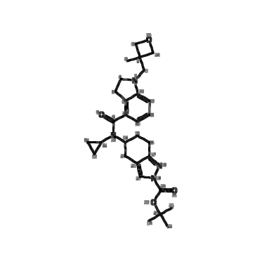 CC1(CN2CCc3c(C(=O)N(C4CC4)C4CCc5nn(C(=O)OC(C)(C)C)cc5C4)cccc32)COC1